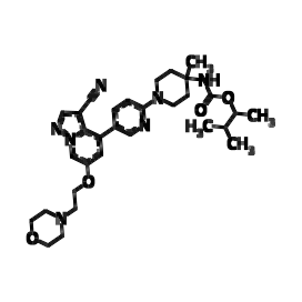 CC(C)C(C)OC(=O)NC1(C)CCN(c2ccc(-c3cc(OCCN4CCOCC4)cn4ncc(C#N)c34)cn2)CC1